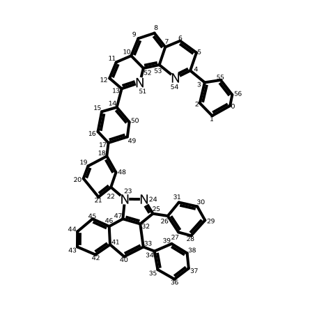 c1ccc(-c2ccc3ccc4ccc(-c5ccc(-c6cccc(-n7nc(-c8ccccc8)c8c(-c9ccccc9)cc9ccccc9c87)c6)cc5)nc4c3n2)cc1